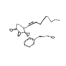 CCCCCCC=CC1CC(=O)OC1=O.O=CC=Cc1ccccc1